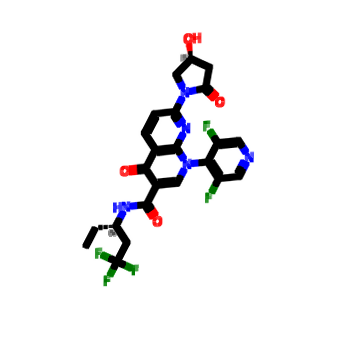 CC[C@@H](CC(F)(F)F)NC(=O)c1cn(-c2c(F)cncc2F)c2nc(N3C[C@@H](O)CC3=O)ccc2c1=O